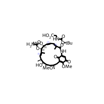 CC(C)(C)OC(=O)NCC(=O)O.COC1=C2C[C@@H](C)C[C@H](OC)[C@H](O)[C@@H](C)/C=C(\C)[C@H](OC(N)=O)[C@@H](OC)/C=C\C=C(/C)C(=O)NC(=CC1=O)C2=O